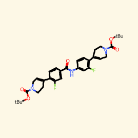 CC(C)(C)OC(=O)N1CC=C(c2ccc(NC(=O)c3ccc(C4=CCN(C(=O)OC(C)(C)C)CC4)c(F)c3)cc2F)CC1